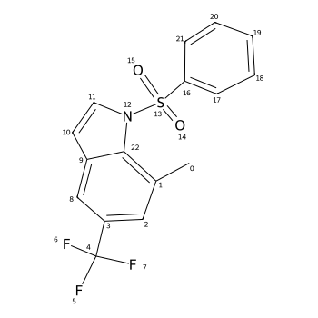 Cc1cc(C(F)(F)F)cc2ccn(S(=O)(=O)c3ccccc3)c12